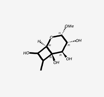 CO[C@H]1O[C@@H]2C(O)C(C)[C@@]2(O)[C@H](O)[C@H]1O